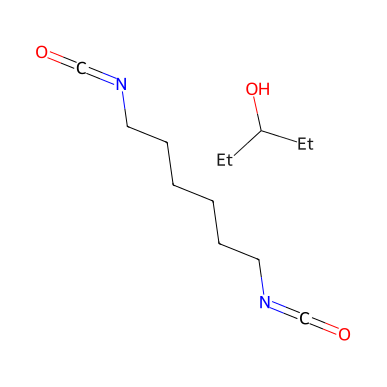 CCC(O)CC.O=C=NCCCCCCN=C=O